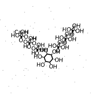 O=P(O)(O)O.O=P(O)(O)O.O=P(O)(O)O.O=P(O)(O)O.O=P(O)(O)O.O=P(O)(O)O.O[C@H]1[C@H](O)[C@@H](O)[C@H](O)[C@@H](O)[C@H]1O.[Ca]